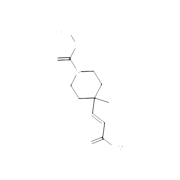 COC(=O)/C=C/C1(C)CCN(C(=O)OC(C)(C)C)CC1